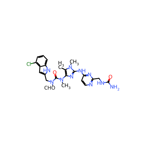 Cc1c(N(C)C(=O)N(C=O)Cc2cc3c(Cl)cccc3[nH]2)nc(Nc2ccnc(CNC(N)=O)n2)n1C